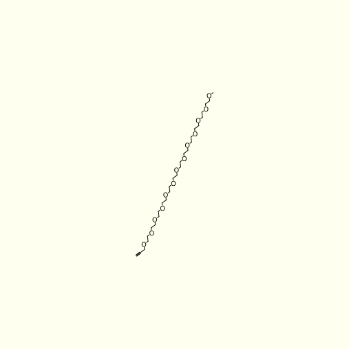 C#CCOCCOCCOCCOCCOCCOCCOCCOCCOCCOCCOCCOCCOC